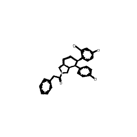 O=C(Cc1ccccc1)N1CC2CCC(c3ccc(Cl)cc3Cl)C(c3ccc(Cl)cc3)C2C1